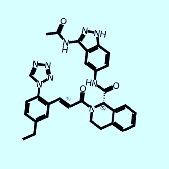 CCc1ccc(-n2cnnn2)c(/C=C/C(=O)N2CCc3ccccc3[C@H]2C(=O)Nc2ccc3[nH]nc(NC(C)=O)c3c2)c1